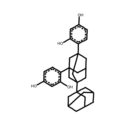 Oc1ccc(C23CC4CC(c5ccc(O)cc5O)(C2)CC(C25CC6CC(CC(C6)C2)C5)(C4)C3)c(O)c1